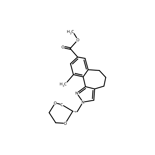 COC(=O)c1cc(C)c2c(c1)CCCc1cn(C[C@H]3COCCO3)nc1-2